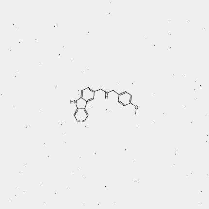 COc1ccc(CNCc2ccc3[nH]c4ccccc4c3c2)cc1